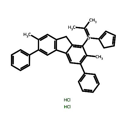 C[C](C)=[Zr]([C]1=CC=CC1)[c]1c(C)c(-c2ccccc2)cc2c1Cc1cc(C)c(-c3ccccc3)cc1-2.Cl.Cl